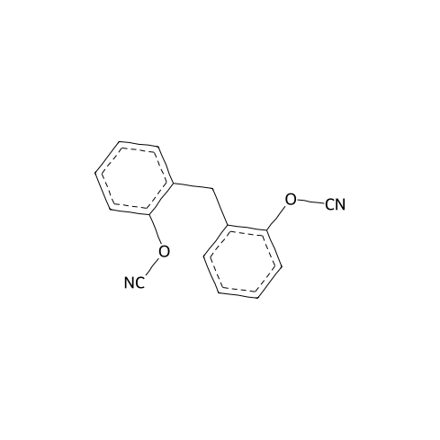 N#COc1ccccc1Cc1ccccc1OC#N